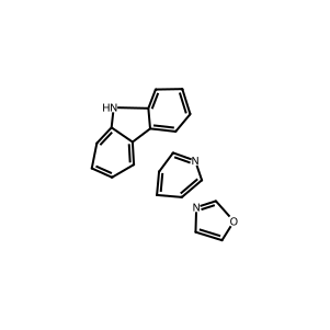 c1ccc2c(c1)[nH]c1ccccc12.c1ccncc1.c1cocn1